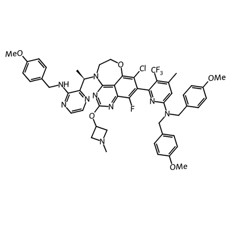 COc1ccc(CNc2nccnc2[C@@H](C)N2CCOc3c(Cl)c(-c4nc(N(Cc5ccc(OC)cc5)Cc5ccc(OC)cc5)cc(C)c4C(F)(F)F)c(F)c4nc(OC5CN(C)C5)nc2c34)cc1